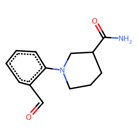 NC(=O)C1CCCN(c2ccccc2C=O)C1